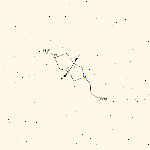 COCCN1C[C@H]2C[C@@H](C)C[C@H]2C1